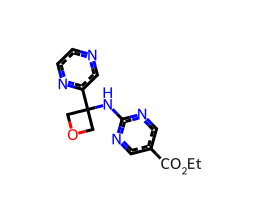 CCOC(=O)c1cnc(NC2(c3cnccn3)COC2)nc1